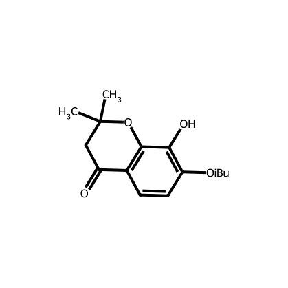 CC(C)COc1ccc2c(c1O)OC(C)(C)CC2=O